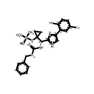 CC(C)(C)[Si](C)(C)OC1([C@@H](NC(=O)OCc2ccccc2)c2nc(-c3cc(F)ccc3F)c[nH]2)CC1